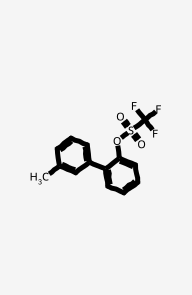 Cc1cccc(-c2ccccc2OS(=O)(=O)C(F)(F)F)c1